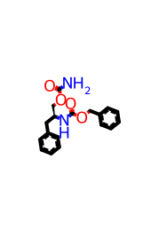 NC(=O)OC[C@H](Cc1ccccc1)NC(=O)OCc1ccccc1